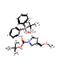 CO/C=C1\C[C@@H](CO[Si](c2ccccc2)(c2ccccc2)C(C)(C)C)N(C(=O)OC(C)(C)C)C1